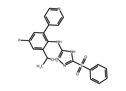 CC(C)c1cc(F)cc(-c2ccncc2)c1Nc1nnc(S(=O)(=O)c2ccccc2)[nH]1